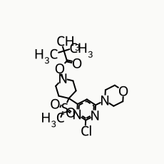 CC(C)(C)C(=O)ON1CCC(c2cc(N3CCOCC3)nc(Cl)n2)(S(C)(=O)=O)CC1